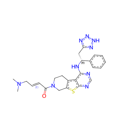 CN(C)C/C=C/C(=O)N1CCc2c(sc3ncnc(N[C@H](Cc4nn[nH]n4)c4ccccc4)c23)C1